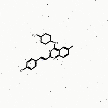 Cc1ccc2nc(/C=C/c3ccc(Cl)cc3)nc(NC3CCC(N)CC3)c2c1